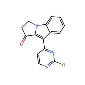 O=C1CCn2c1c(-c1ccnc(Cl)n1)c1ccccc12